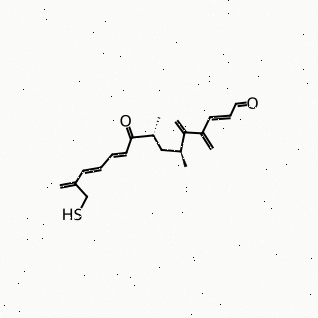 C=C(/C=C/C=C/C(=O)[C@H](C)C[C@H](C)C(=C)C(=C)/C=C/C=O)CS